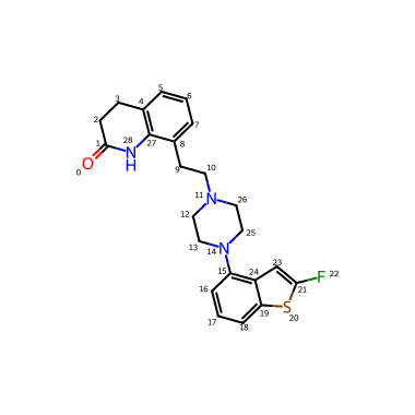 O=C1CCc2cccc(CCN3CCN(c4cccc5sc(F)cc45)CC3)c2N1